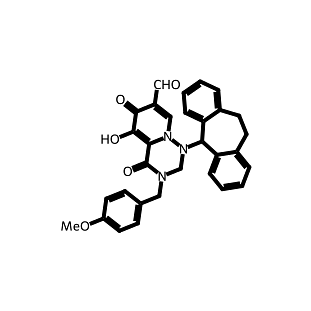 COc1ccc(CN2CN(C3c4ccccc4CCc4ccccc43)n3cc(C=O)c(=O)c(O)c3C2=O)cc1